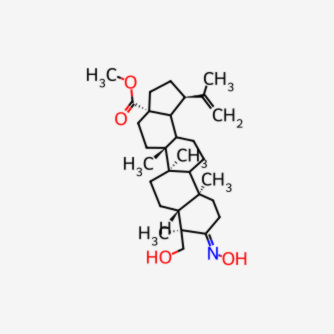 C=C(C)[C@@H]1CC[C@]2(C(=O)OC)CC[C@]3(C)C(CCC4[C@@]5(C)CC/C(=N\O)[C@@](C)(CO)[C@@H]5CC[C@]43C)C12